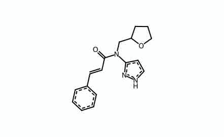 O=C(/C=C/c1ccccc1)N(CC1CCCO1)c1cc[nH]n1